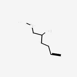 C=CCCC(O)CNC(=O)O